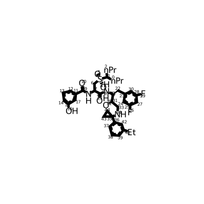 CCCC(CCC)S(=O)(=O)CC(NC(=O)c1cccc(O)c1)C(=O)N[C@@H](Cc1cc(F)cc(F)c1)[C@H](O)CNC1(c2cccc(CC)c2)CC1